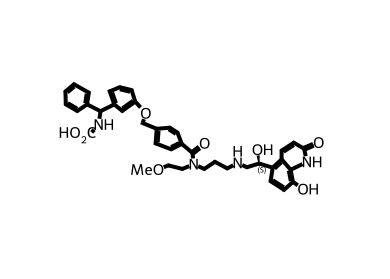 COCCN(CCCNC[C@@H](O)c1ccc(O)c2[nH]c(=O)ccc12)C(=O)c1ccc(COc2cccc(C(NC(=O)O)c3ccccc3)c2)cc1